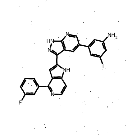 Nc1cc(I)cc(-c2cnc3[nH]nc(-c4cc5c(-c6cccc(F)c6)nccc5[nH]4)c3c2)c1